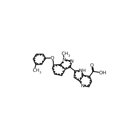 Cc1cccc(Oc2cccc3c(-c4cc5nccc(C(=O)O)c5[nH]4)nn(C)c23)c1